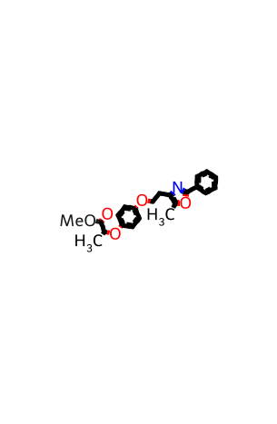 COC(=O)C(C)Oc1ccc(OCCc2nc(-c3ccccc3)oc2C)cc1